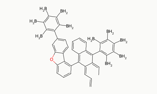 Bc1c(B)c(B)c(-c2ccc3c(c2)oc2cccc(-c4c(=C/C=C)/c(=C\C)c(-c5c(B)c(B)c(B)c(B)c5B)c5ccccc45)c23)c(B)c1B